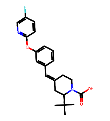 CC(C)(C)C1CC(=Cc2cccc(Oc3ccc(F)cn3)c2)CCN1C(=O)O